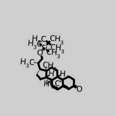 C[C@H](CO[Si](C)(C)C(C)(C)C)[C@H]1CC[C@H]2[C@@H]3C=CC4=CC(=O)CC[C@]4(C)[C@H]3CC[C@]12C